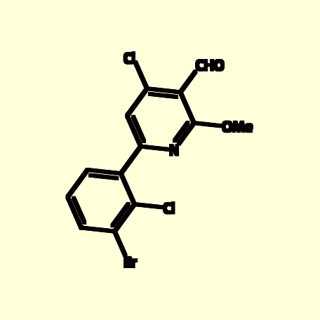 COc1nc(-c2cccc(Br)c2Cl)cc(Cl)c1C=O